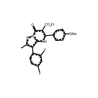 CCOC(=O)c1c(-c2ccc(OC)cc2)[nH]c2c(-c3ccc(F)cc3F)c(C)nn2c1=O